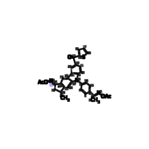 CC(=O)ON=C(C)c1ccc(-n2c3ccc(C(=O)c4cccs4)cc3c3cc4c(cc32)C(C)C/C4=N\OC(C)=O)cc1